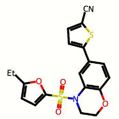 CCc1ccc(S(=O)(=O)N2CCOc3ccc(-c4ccc(C#N)s4)cc32)o1